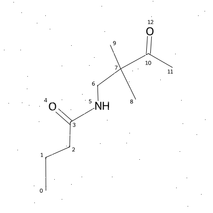 CCCC(=O)NCC(C)(C)C(C)=O